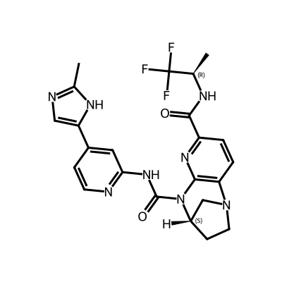 Cc1ncc(-c2ccnc(NC(=O)N3c4nc(C(=O)N[C@H](C)C(F)(F)F)ccc4N4CC[C@H]3C4)c2)[nH]1